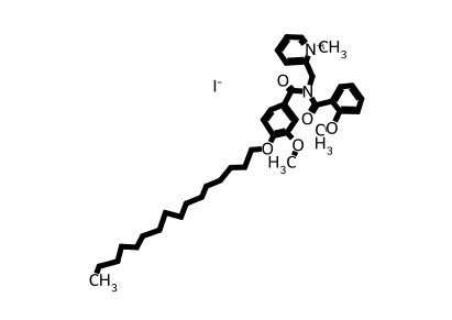 CCCCCCCCCCCCCCCCOc1ccc(C(=O)N(Cc2cccc[n+]2C)C(=O)c2ccccc2OC)cc1OC.[I-]